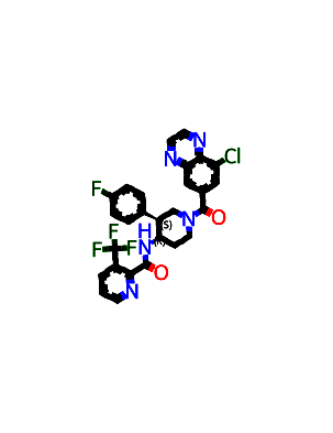 O=C(N[C@@H]1CCN(C(=O)c2cc(Cl)c3nccnc3c2)C[C@@H]1c1ccc(F)cc1)c1ncccc1C(F)(F)F